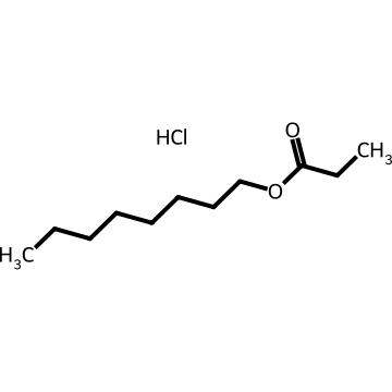 CCCCCCCCOC(=O)CC.Cl